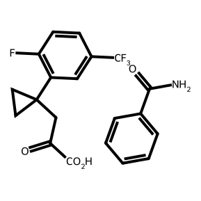 NC(=O)c1ccccc1.O=C(O)C(=O)CC1(c2cc(C(F)(F)F)ccc2F)CC1